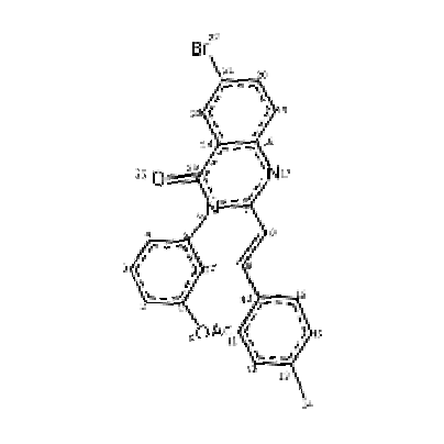 CC(=O)Oc1cccc(-n2c(/C=C/c3ccc(C)cc3)nc3ccc(Br)cc3c2=O)c1